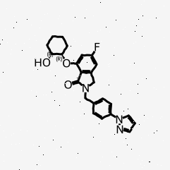 O=C1c2c(cc(F)cc2O[C@@H]2CCCC[C@H]2O)CN1Cc1ccc(-n2cccn2)cc1